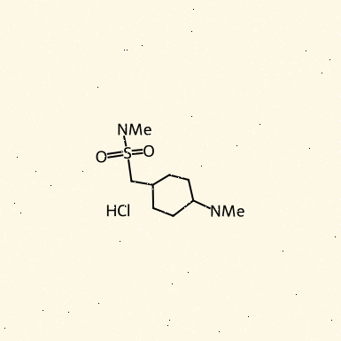 CNC1CCC(CS(=O)(=O)NC)CC1.Cl